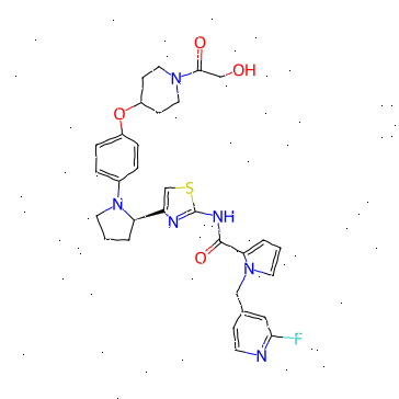 O=C(Nc1nc([C@H]2CCCN2c2ccc(OC3CCN(C(=O)CO)CC3)cc2)cs1)c1cccn1Cc1ccnc(F)c1